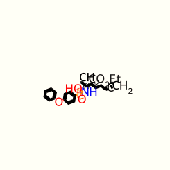 C=C=CCC[C@H](C(=O)OCC)[C@@H](C=C)NP(=O)(O)c1ccc(Oc2ccccc2)cc1